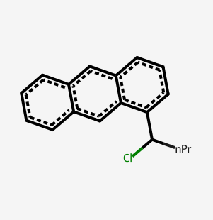 CCCC(Cl)c1cccc2cc3ccccc3cc12